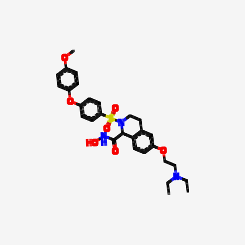 CCN(CC)CCOc1ccc2c(c1)CCN(S(=O)(=O)c1ccc(Oc3ccc(OC)cc3)cc1)C2C(=O)NO